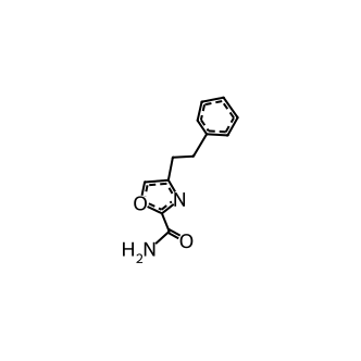 NC(=O)c1nc(CCc2ccccc2)co1